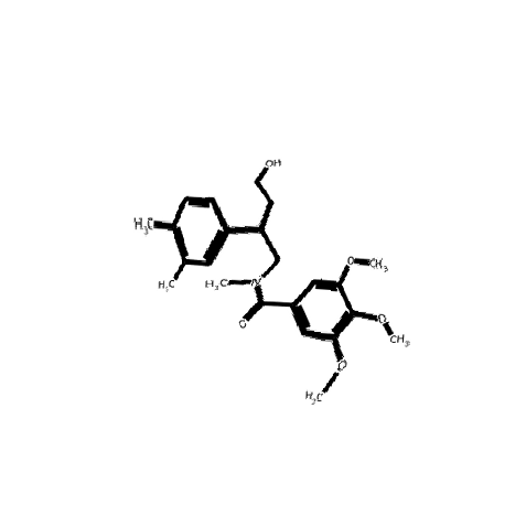 COc1cc(C(=O)N(C)CC(CCO)c2ccc(C)c(C)c2)cc(OC)c1OC